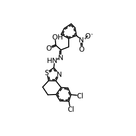 O=C(O)/C(Cc1ccccc1[N+](=O)[O-])=N\Nc1nc2c(s1)CCc1cc(Cl)c(Cl)cc1-2